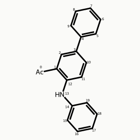 CC(=O)c1cc(-c2ccccc2)ccc1Nc1ccccc1